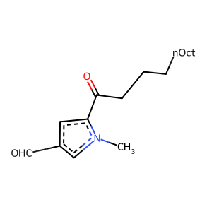 CCCCCCCCCCCC(=O)c1cc(C=O)cn1C